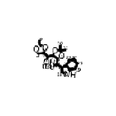 CC1OCC(C(O)C2OC(C)(C)OC2C(c2c[nH]c3ccccc23)C(C)(C)C)O1